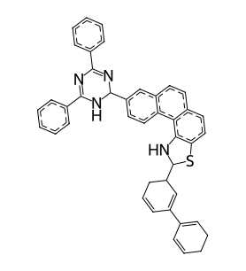 C1=CC(C2=CC(C3Nc4c(ccc5ccc6cc(C7N=C(c8ccccc8)N=C(c8ccccc8)N7)ccc6c45)S3)CC=C2)=CCC1